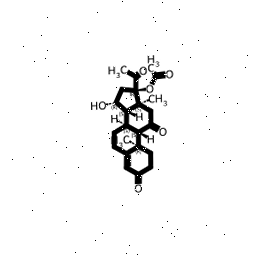 CC(=O)O[C@]1(C(C)=O)C[C@@H](O)[C@H]2[C@@H]3CCC4=CC(=O)CC[C@]4(C)[C@H]3C(=O)C[C@@]21C